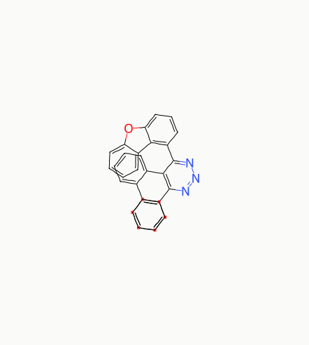 c1ccc(-c2ccccc2-c2c(-c3ccccc3)nnnc2-c2cccc3oc4ccccc4c23)cc1